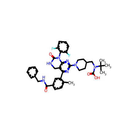 Cc1ccc(C(=O)NCc2ccccc2)cc1-c1nc(N2CCC(CN(C(=O)O)C(C)(C)C)CC2)nc2c1CNC(=O)N2c1c(F)cccc1F